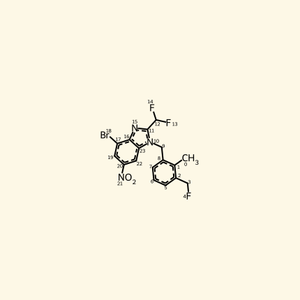 Cc1c(CF)cccc1Cn1c(C(F)F)nc2c(Br)cc([N+](=O)[O-])cc21